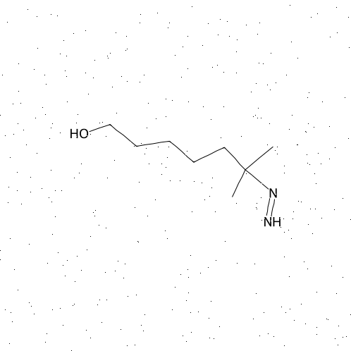 CC(C)(CCCCCO)N=N